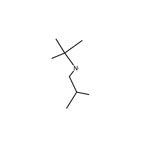 CC(C)C[N]C(C)(C)C